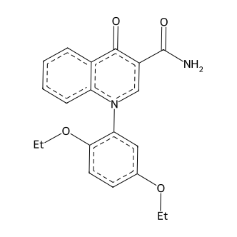 CCOc1ccc(OCC)c(-n2cc(C(N)=O)c(=O)c3ccccc32)c1